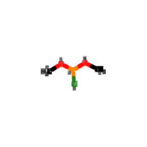 COP(Cl)OC